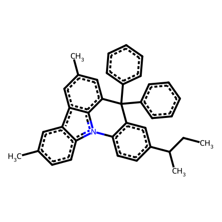 CCC(C)c1ccc2c(c1)C(c1ccccc1)(c1ccccc1)c1cc(C)cc3c4cc(C)ccc4n-2c13